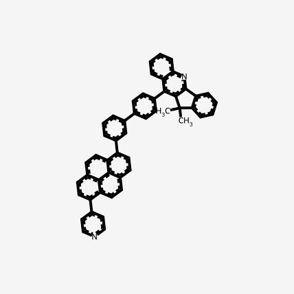 CC1(C)c2ccccc2-c2nc3ccccc3c(-c3ccc(-c4cccc(-c5ccc6ccc7c(-c8ccncc8)ccc8ccc5c6c87)c4)cc3)c21